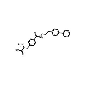 NC(Cc1ccc(C(=O)NCCCc2ccc(-c3ccccc3)cc2)cc1)C(=O)O